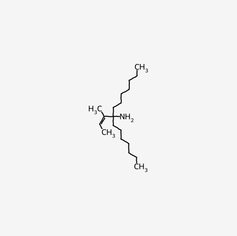 CC=C(C)C(N)(CCCCCCC)CCCCCCC